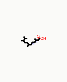 CC(/C=C/CC(C)CCC(C)C(C)C)=C\C(=O)O